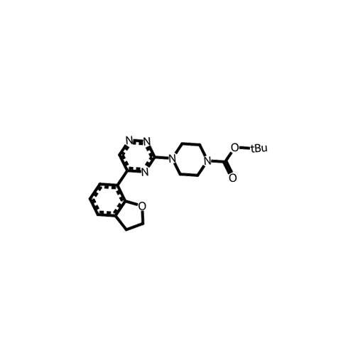 CC(C)(C)OC(=O)N1CCN(c2nncc(-c3cccc4c3OCC4)n2)CC1